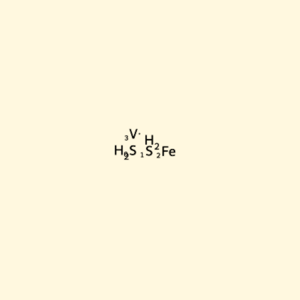 S.S.[Fe].[V]